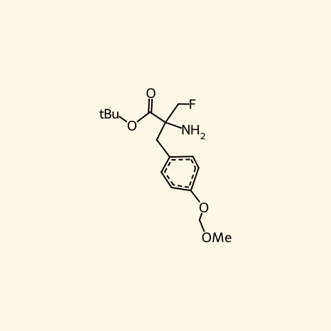 COCOc1ccc(CC(N)(CF)C(=O)OC(C)(C)C)cc1